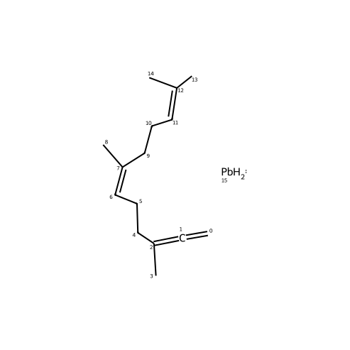 C=C=C(C)CCC=C(C)CCC=C(C)C.[PbH2]